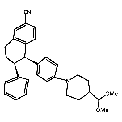 COC(OC)C1CCN(c2ccc([C@@H]3c4ccc(C#N)cc4CC[C@@H]3c3ccccc3)cc2)CC1